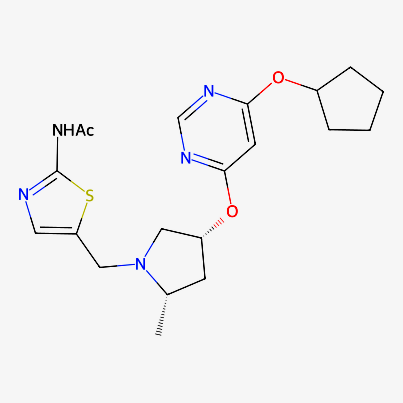 CC(=O)Nc1ncc(CN2C[C@H](Oc3cc(OC4CCCC4)ncn3)C[C@@H]2C)s1